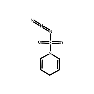 [N-]=[N+]=NS(=O)(=O)N1C=CCC=C1